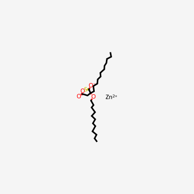 CCCCCCCCCCCCOC(CCCCCCCCCCCC)(CC(=O)[O-])C([O-])=S.[Zn+2]